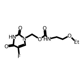 CCOCCNC(=O)OCn1cc(F)c(=O)[nH]c1=O